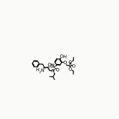 CCOP(=O)(COc1cc(S(=O)(=O)N(CC(C)C)C[C@@H](O)[C@@H](N)Cc2ccccc2)ccc1O)OCC